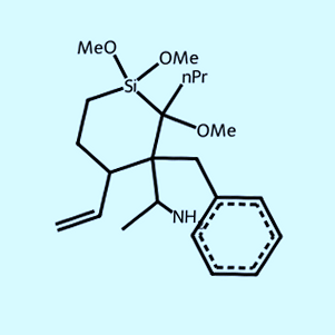 C=CC1CC[Si](OC)(OC)C(CCC)(OC)C1(Cc1ccccc1)C(C)N